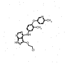 Cc1ccc(Oc2ccc(Nc3ncnc4[nH]nc(OCCCl)c34)cc2C)cn1